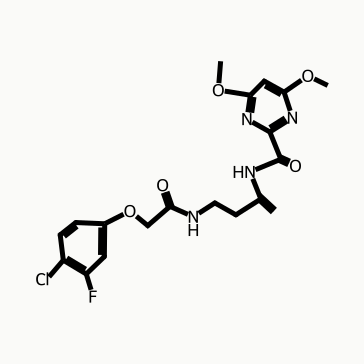 C=C(CCNC(=O)COc1ccc(Cl)c(F)c1)NC(=O)c1nc(OC)cc(OC)n1